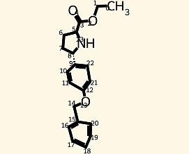 CCOC(=O)C1CC[C@@H](c2ccc(OCc3ccccc3)cc2)N1